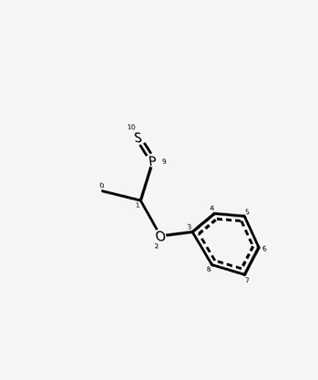 CC(Oc1ccccc1)P=S